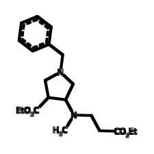 CCOC(=O)CCN(C)C1CN(Cc2ccccc2)CC1C(=O)OCC